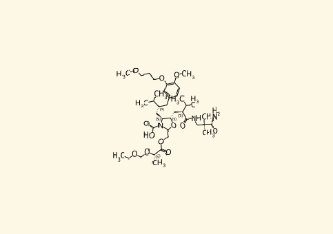 CCOCO[C@@H](C)C(=O)OCC1O[C@@H](C[C@H](C(=O)NCC(C)(C)C(N)=O)C(C)C)[C@H](C[C@@H](Cc2ccc(OC)c(OCCCOC)c2)C(C)C)N1C(=O)O